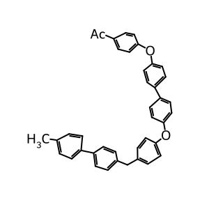 CC(=O)c1ccc(Oc2ccc(-c3ccc(Oc4ccc(Cc5ccc(-c6ccc(C)cc6)cc5)cc4)cc3)cc2)cc1